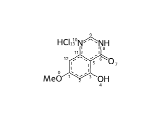 COc1cc(O)c2c(=O)[nH]cnc2c1.Cl